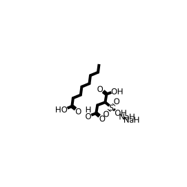 CCCCCCCC(=O)O.O=C(O)CC(C(=O)O)S(=O)(=O)O.[NaH].[NaH]